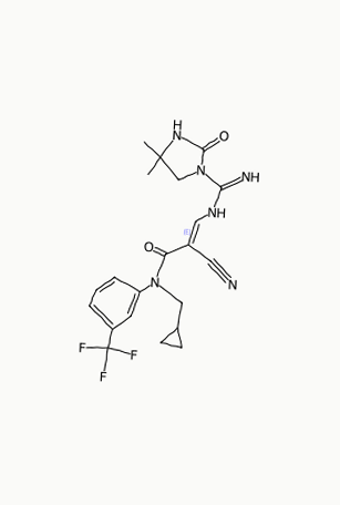 CC1(C)CN(C(=N)N/C=C(\C#N)C(=O)N(CC2CC2)c2cccc(C(F)(F)F)c2)C(=O)N1